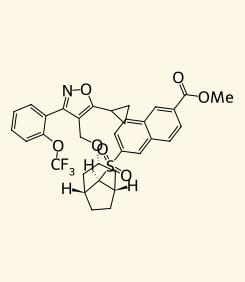 COC(=O)c1ccc2cc(S(=O)(=O)[C@@H]3[C@@H]4CC[C@H]3C[C@@H](OCc3c(-c5ccccc5OC(F)(F)F)noc3C3CC3)C4)ccc2c1